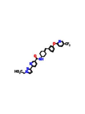 O=C(O)Cn1ccc(-c2ccc(C(=O)NC3CCC(=Cc4cccc(Oc5ccc(C(F)(F)F)cn5)c4)CC3)cn2)n1